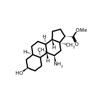 COC(=O)[C@H]1CC[C@H]2[C@@H]3CC[C@@H]4C[C@H](O)CC[C@]4(C)[C@H]3[C@H](N)C[C@]12C